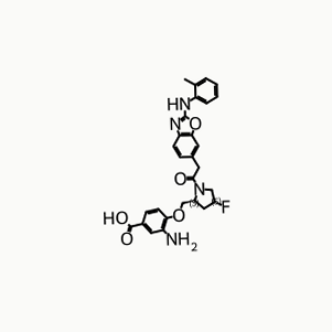 Cc1ccccc1Nc1nc2ccc(CC(=O)N3C[C@@H](F)C[C@H]3COc3ccc(C(=O)O)cc3N)cc2o1